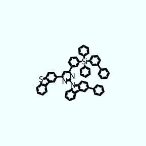 c1ccc(-c2cccc([Si](c3ccccc3)(c3ccccc3)c3cccc(-c4cc(-c5ccc6sc7ccccc7c6c5)nc(-n5c6ccccc6c6cc(-c7ccccc7)ccc65)n4)c3)c2)cc1